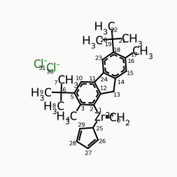 [CH2]=[Zr+2]([c]1c(C)c(C(C)(C)C)cc2c1Cc1cc(C)c(C(C)(C)C)cc1-2)[CH]1C=CC=C1.[Cl-].[Cl-]